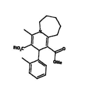 CCOC(=O)C1=C(C)N2CCCCCC2=C(C(=O)OC)C1c1ccccc1C